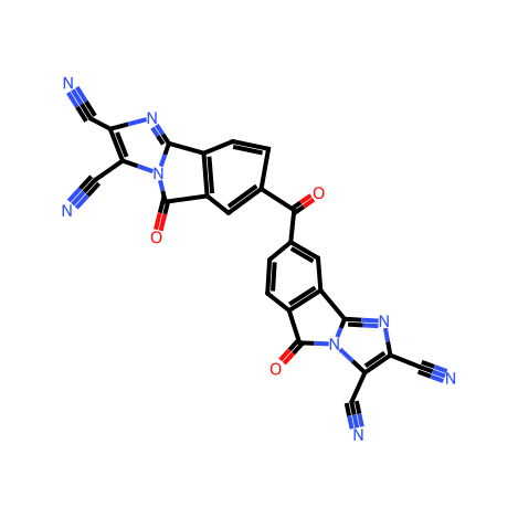 N#Cc1nc2n(c1C#N)C(=O)c1cc(C(=O)c3ccc4c(c3)-c3nc(C#N)c(C#N)n3C4=O)ccc1-2